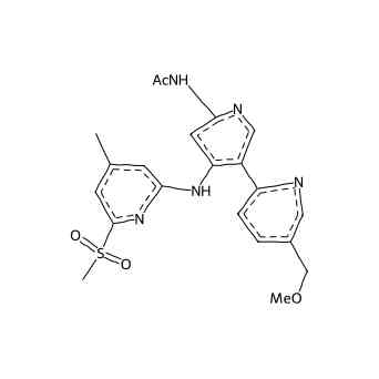 COCc1ccc(-c2cnc(NC(C)=O)cc2Nc2cc(C)cc(S(C)(=O)=O)n2)nc1